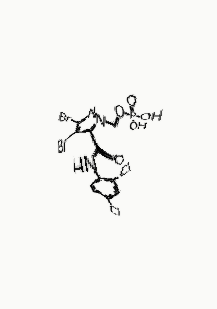 O=C(Nc1ccc(Cl)cc1Cl)c1c(Br)c(Br)nn1COP(=O)(O)O